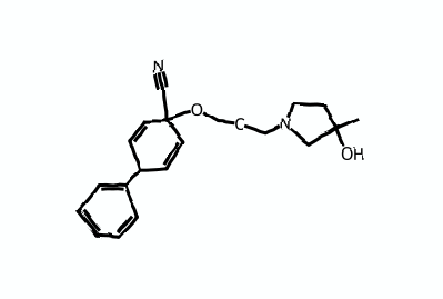 CC1(O)CCN(CCCOC2(C#N)C=CC(c3ccccc3)C=C2)C1